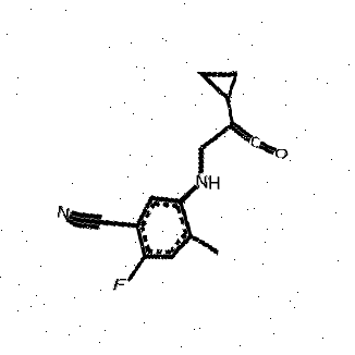 Cc1cc(F)c(C#N)cc1NCC(=C=O)C1CC1